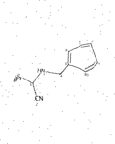 CC(C)C(C#N)NCc1ccccc1